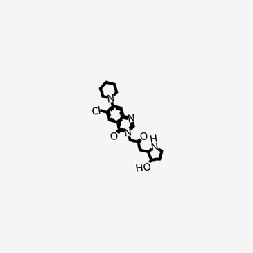 O=C(CC1NCCC1O)Cn1cnc2cc(N3CCCCC3)c(Cl)cc2c1=O